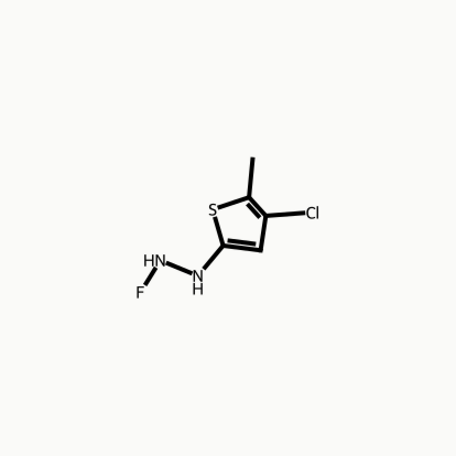 Cc1sc(NNF)cc1Cl